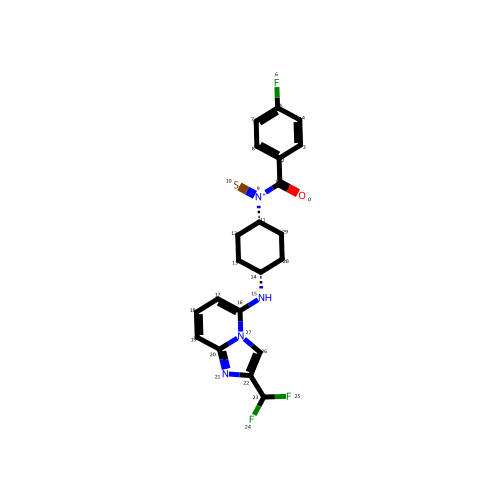 O=C(c1ccc(F)cc1)[N+](=S)[C@H]1CC[C@@H](Nc2cccc3nc(C(F)F)cn23)CC1